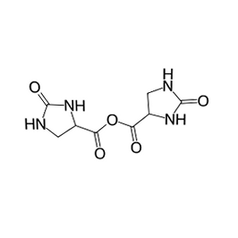 O=C1NCC(C(=O)OC(=O)C2CNC(=O)N2)N1